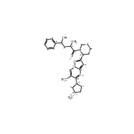 Cc1cn2nc([C@@H]3CCCCN3C(=O)C(N)CC(O)c3ccccc3)cc2nc1N1CC[C@H](N)C1